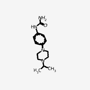 CC(C)N1CCN(c2ccc(NC(N)=O)cc2)CC1